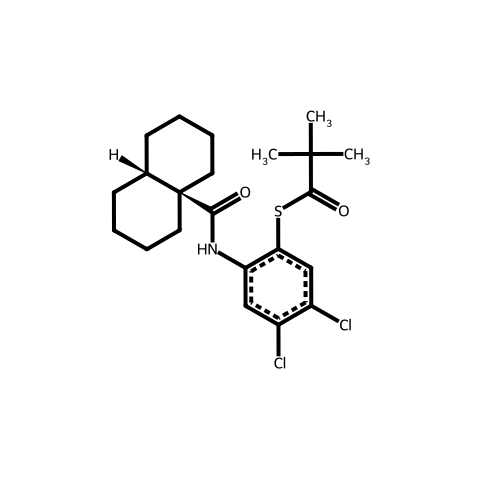 CC(C)(C)C(=O)Sc1cc(Cl)c(Cl)cc1NC(=O)[C@]12CCCC[C@H]1CCCC2